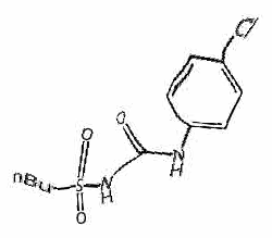 CCCCS(=O)(=O)NC(=O)Nc1ccc(Cl)cc1